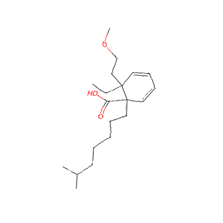 CCC1(CCOC)C=CC=CC1(CCCCCC(C)C)C(=O)O